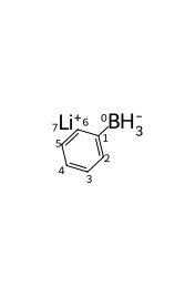 [BH3-]c1ccccc1.[Li+]